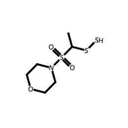 CC(SS)S(=O)(=O)N1CCOCC1